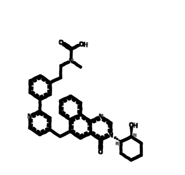 CN(CCc1cccc(-c2cc(Cc3cc4c(=O)n([C@H]5CCCC[C@@H]5O)cnc4c4ccccc34)ccn2)c1)C(=O)O